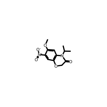 COc1cc2c(cc1[N+](=O)[O-])OCC(=O)N2C(C)C